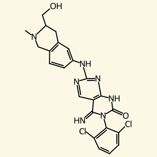 CN1Cc2ccc(Nc3ncc4c(=N)n(-c5c(Cl)cccc5Cl)c(=O)[nH]c4n3)cc2CC1CO